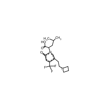 CC(C)CC(C(=O)O)n1cc(CCN2CCC2)c(C(F)(F)F)cc1=O